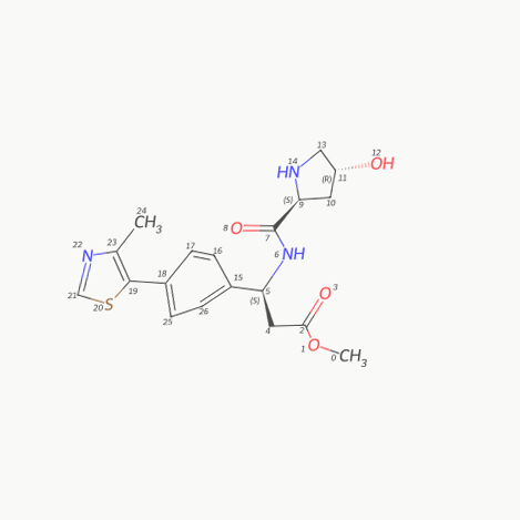 COC(=O)C[C@H](NC(=O)[C@@H]1C[C@@H](O)CN1)c1ccc(-c2scnc2C)cc1